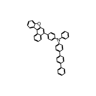 c1ccc(-c2ccc(-c3ccc(N(c4ccccc4)c4ccc(-c5cc6oc7ccccc7c6c6ccccc56)cc4)cc3)cc2)cc1